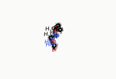 CC(CO[Si](c1ccccc1)(c1ccccc1)C(C)(C)C)n1cnnc1-c1cccc(NC(=O)Nc2cc(Br)ccn2)n1